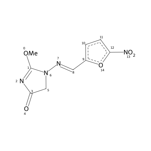 COC1=NC(=O)CN1/N=C/c1ccc([N+](=O)[O-])o1